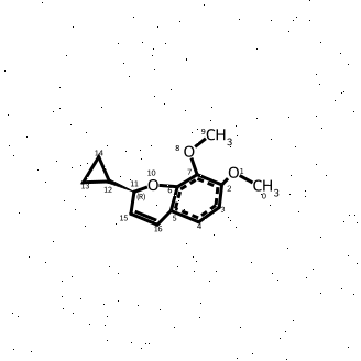 COc1ccc2c(c1OC)O[C@H](C1CC1)C=C2